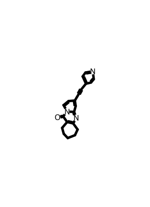 O=c1c2c(nc3cc(C#Cc4ccncc4)ccn13)CCCCC2